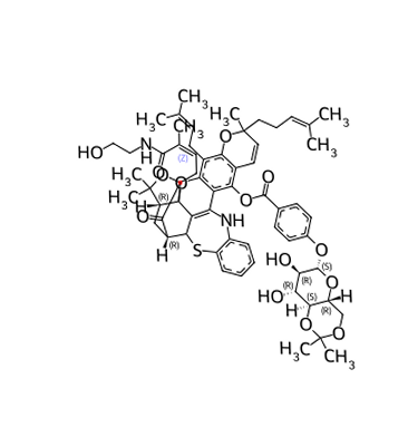 CC(C)=CCCC1(C)C=Cc2c(c(CC=C(C)C)c3c(c2OC(=O)c2ccc(O[C@@H]4O[C@@H]5COC(C)(C)O[C@H]5[C@H](O)[C@H]4O)cc2)C2=C4C(Sc5ccccc5N2)[C@@H]2C[C@@H]5C(C)(C)OC(C/C=C(/C)C(=O)NCCO)(C2=O)C45O3)O1